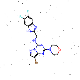 Fc1cc2nc(CNc3nc(N4CCOCC4)nc4c(Br)cnn34)[nH]c2cc1F